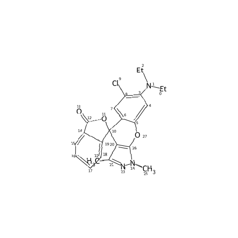 CCN(CC)c1cc2c(cc1Cl)C1(OC(=O)c3ccccc31)c1c(C)nn(C)c1O2